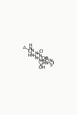 C[C@@]1(C(=O)Nc2nccs2)C[C@H](O)CN1c1nc(Cl)nc(Nc2cc(C3CC3)[nH]n2)n1